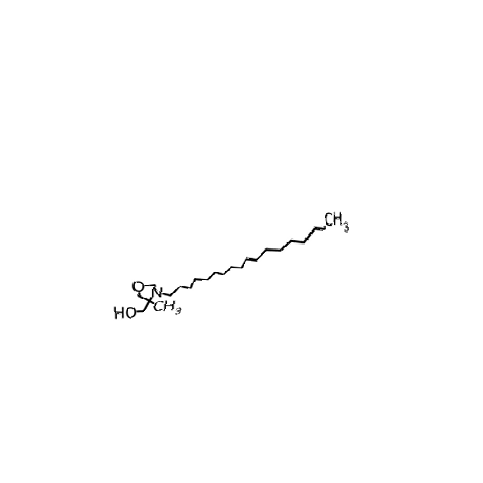 CCCCCCCCCCCCCCCCCCN1COCC1(C)CO